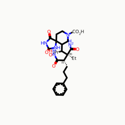 CC[C@@](C(N)=O)(C(C(C)C)C1CN(C(=O)O)CCC12NC(=O)NC2=O)[C@H](CCCc1ccccc1)C(=O)NO